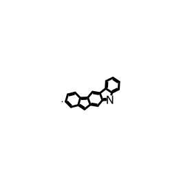 [c]1ccc2c(c1)=Cc1cc3c(cc1=2)-c1ccccc1N=3